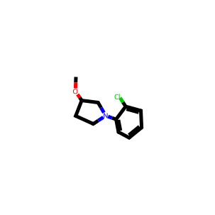 COC1CCN(c2ccccc2Cl)C1